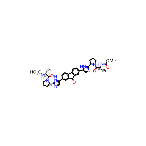 COC(=O)N[C@H](C(=O)N1CCCC1c1ncc(-c2ccc3c(c2)C(=O)c2cc(-c4cnc([C@@H]5CCCN5C(=O)[C@@H](NC(=O)O)C(C)C)[nH]4)ccc2-3)[nH]1)C(C)C